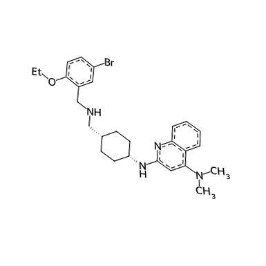 CCOc1ccc(Br)cc1CNC[C@H]1CC[C@@H](Nc2cc(N(C)C)c3ccccc3n2)CC1